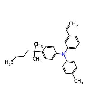 BCCCC(C)(C)c1ccc(N(c2ccc(C)cc2)c2cccc(C=C)c2)cc1